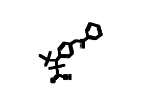 CC(C)(C)C(c1ccc(CNc2ccccc2)cc1)C(C)(C)C(=O)O